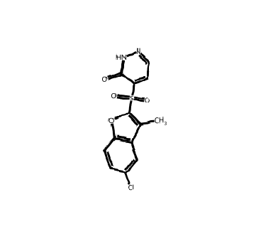 Cc1c(S(=O)(=O)c2ccn[nH]c2=O)oc2ccc(Cl)cc12